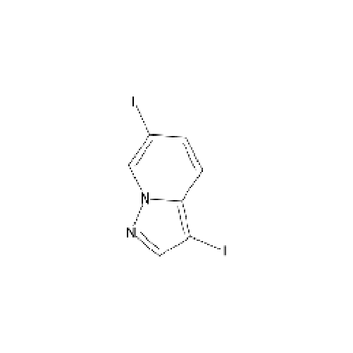 Ic1ccc2c(I)cnn2c1